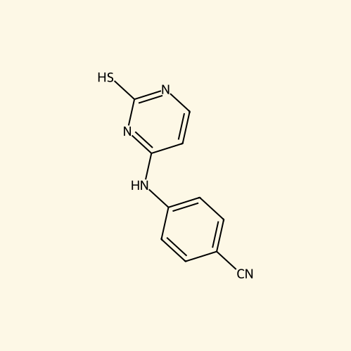 N#Cc1ccc(Nc2ccnc(S)n2)cc1